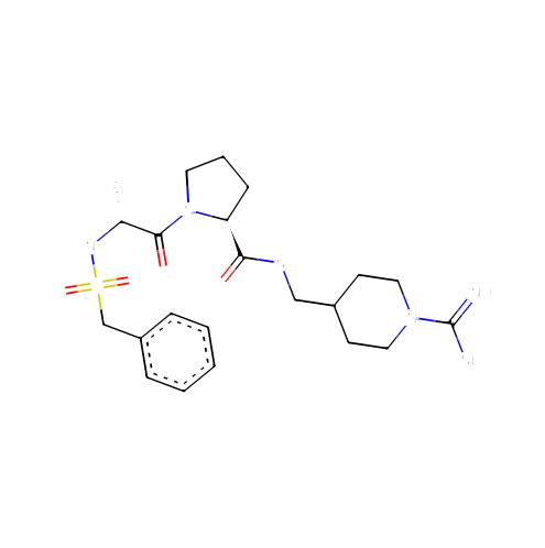 C[C@@H](NS(=O)(=O)Cc1ccccc1)C(=O)N1CCC[C@H]1C(=O)NCC1CCN(C(=N)N)CC1